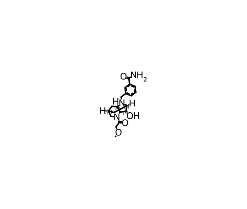 COCC(=O)N1C[C@@H]2C[C@@H]3C1[C@@H](O)[C@H](C2)N3Cc1cccc(C(N)=O)c1